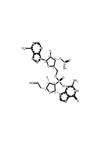 Nc1nc2c(ncn2[C@@H]2O[C@H](CCO)[C@H](F)[C@H]2P(=O)(S)OC[C@H]2O[C@@H](n3nnc4c(N)ncnc43)[C@@H](F)[C@@H]2O[PH](=O)S)c(=O)[nH]1